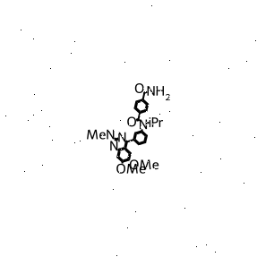 CNc1nc(-c2cccc(N(C(=O)c3ccc(C(N)=O)cc3)C(C)C)c2)c2cc(OC)c(OC)cc2n1